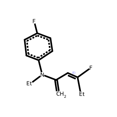 C=C(/C=C(/F)CC)N(CC)c1ccc(F)cc1